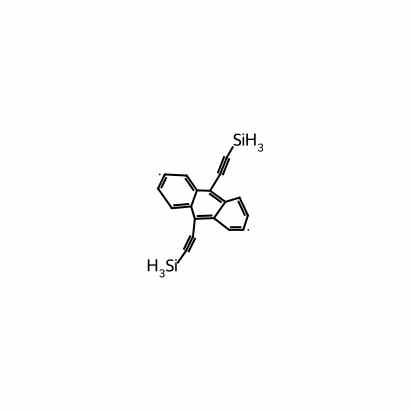 [SiH3]C#Cc1c2c[c]ccc2c(C#C[SiH3])c2c[c]ccc12